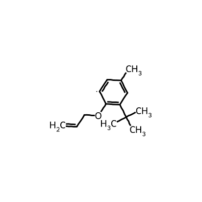 C=CCOc1[c]cc(C)cc1C(C)(C)C